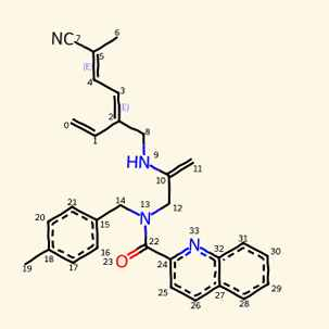 C=C/C(=C\C=C(/C)C#N)CNC(=C)CN(Cc1ccc(C)cc1)C(=O)c1ccc2ccccc2n1